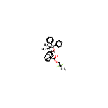 CC(F)(F)COC(=O)C12CC3CC(CC(O[Si](c4ccccc4)(c4ccccc4)C(C)(C)C)(C3)C1)C2